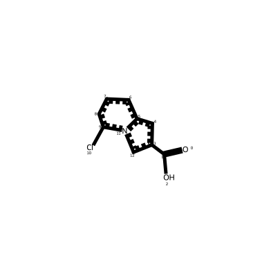 O=C(O)c1cc2cccc(Cl)n2c1